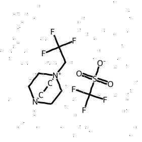 FC(F)(F)C[N+]12CCN(CC1)CC2.O=S(=O)([O-])C(F)(F)F